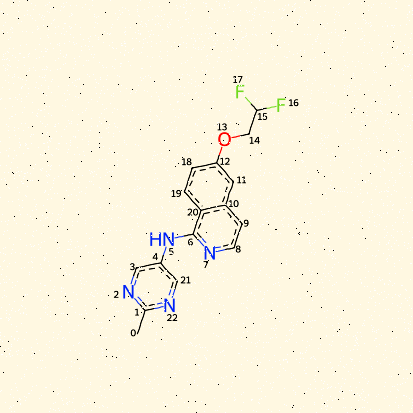 Cc1ncc(Nc2nccc3cc(OCC(F)F)ccc23)cn1